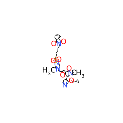 CC1CN(S(=O)(=O)CCCCCCN2C(=O)c3ccccc3C2=O)CCN1Cc1cc2c(=O)n(C)cc(-c3ccncc3OCC3CC3)c2o1